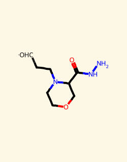 NNC(=O)C1COCCN1CC[C]=O